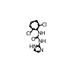 O=C(Nc1ncc[nH]1)Nc1c(Cl)cccc1Cl